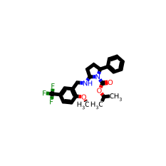 COc1ccc(C(F)(F)F)cc1CNC1CCC(c2ccccc2)N1C(=O)OC(C)C